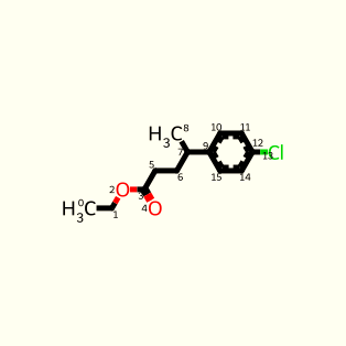 CCOC(=O)CCC(C)c1ccc(Cl)cc1